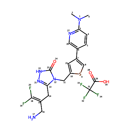 CN(C)c1ccc(-c2csc(Cn3c(CC(CN)=C(F)F)n[nH]c3=O)c2)cn1.O=C(O)C(F)(F)F